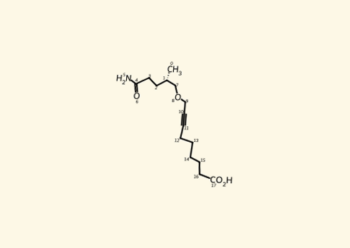 C[C@@H](CCC(N)=O)COCC#CCCCCCC(=O)O